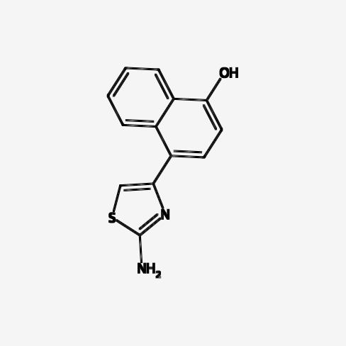 Nc1nc(-c2ccc(O)c3ccccc23)cs1